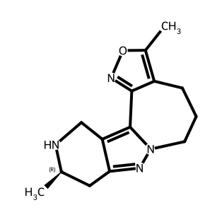 Cc1onc2c1CCCn1nc3c(c1-2)CN[C@H](C)C3